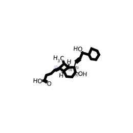 CC1/C(=C/CCC(=O)O)[C@H]2CC[C@@H](O)[C@H](C#CC(O)C3CCCCC3)[C@@H]12